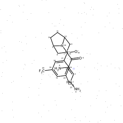 NN/C=C(\N)C(=O)N1CC2CCC(C1)N2[S+]([O-])c1cc(C(F)(F)F)cc(C(F)(F)F)c1